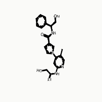 CCC(CO)Nc1cc(-n2ccc(C(=O)NC(CO)c3ccccc3)c2)c(C)cn1